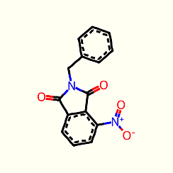 O=C1c2cccc([N+](=O)[O-])c2C(=O)N1Cc1ccccc1